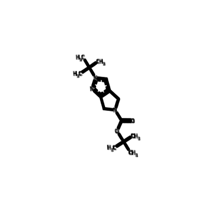 CC(C)(C)OC(=O)N1Cc2cn(C(C)(C)C)nc2C1